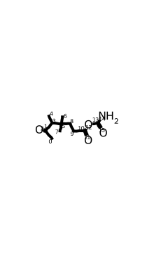 CC(=O)C(C)C(C)(C)CCC(=O)OC(N)=O